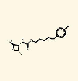 Cc1ccc(CCCCCOC(=O)N[C@H]2C(=O)O[C@H]2C)cc1